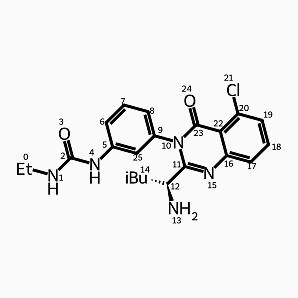 CCNC(=O)Nc1cccc(-n2c([C@@H](N)[C@@H](C)CC)nc3cccc(Cl)c3c2=O)c1